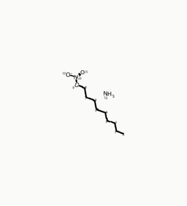 CCCCCCCCCO[N+](=O)[O-].N